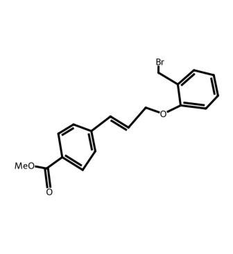 COC(=O)c1ccc(C=CCOc2ccccc2CBr)cc1